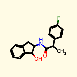 CC(C(=O)NC1Cc2ccccc2C1O)c1ccc(F)cc1